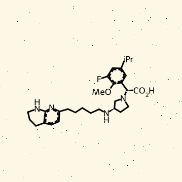 COc1c(F)cc(C(C)C)cc1[C@@H](C(=O)O)N1CC[C@@H](NCCCCCc2ccc3c(n2)NCCC3)C1